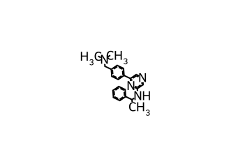 CC(Nc1cncc(-c2ccc(CN(C)C)cc2)n1)c1ccccc1